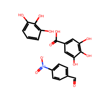 O=C(O)c1cc(O)c(O)c(O)c1.O=Cc1ccc([N+](=O)[O-])cc1.Oc1cccc(O)c1O